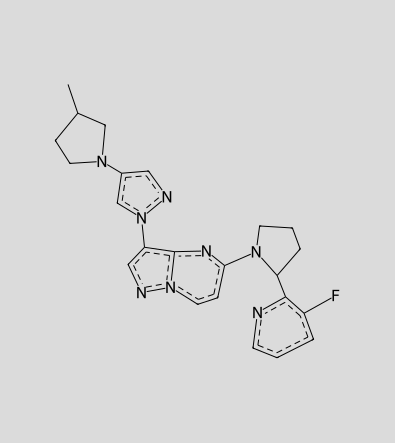 CC1CCN(c2cnn(-c3cnn4ccc(N5CCCC5c5ncccc5F)nc34)c2)C1